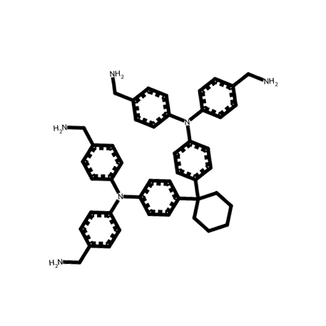 NCc1ccc(N(c2ccc(CN)cc2)c2ccc(C3(c4ccc(N(c5ccc(CN)cc5)c5ccc(CN)cc5)cc4)CCCCC3)cc2)cc1